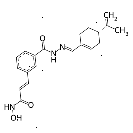 C=C(C)[C@@H]1CC=C(/C=N/NC(=O)c2cccc(/C=C/C(=O)NO)c2)CC1